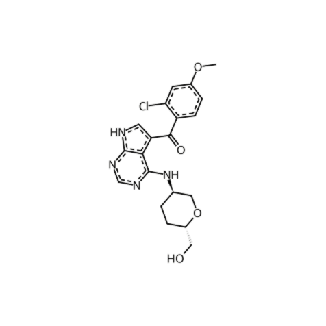 COc1ccc(C(=O)c2c[nH]c3ncnc(N[C@@H]4CC[C@@H](CO)OC4)c23)c(Cl)c1